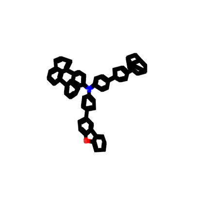 c1ccc(-c2cccc3cccc(-c4ccc(N(c5ccc(-c6ccc(C78CC9CC(CC(C9)C7)C8)cc6)cc5)c5ccc(-c6ccc7oc8ccccc8c7c6)cc5)cc4)c23)cc1